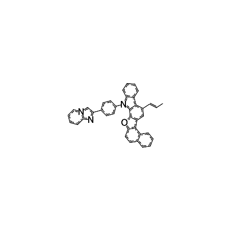 C/C=C/c1cc2c(oc3ccc4ccccc4c32)c2c1c1ccccc1n2-c1ccc(-c2cn3ccccc3n2)cc1